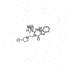 Cl.Cl.N=C(N)N(CCN1CCC(Cl)C1)C(=O)c1cc2ccccc2[nH]1